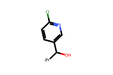 CC(C)C(O)c1ccc(Cl)nc1